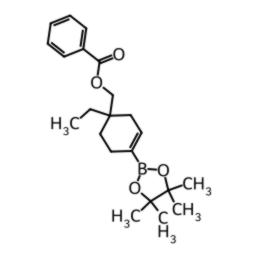 CCC1(COC(=O)c2ccccc2)CC=C(B2OC(C)(C)C(C)(C)O2)CC1